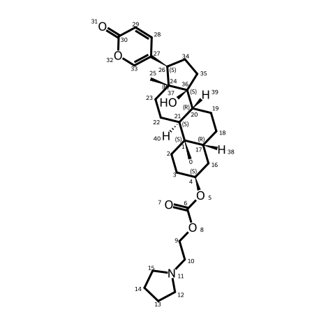 C[C@]12CC[C@H](OC(=O)OCCN3CCCC3)C[C@H]1CC[C@@H]1[C@@H]2CC[C@]2(C)[C@@H](c3ccc(=O)oc3)CC[C@]12O